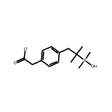 CC(C)(Cc1ccc(CC(=O)Cl)cc1)[Si](C)(C)O